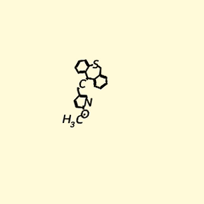 COc1ccc(C=C=C2c3ccccc3CSc3ccccc32)cn1